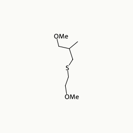 COCCSCC(C)COC